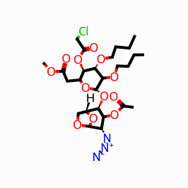 CCCCOC1[C@H](O[C@H]2C(OC(C)=O)[C@H](N=[N+]=[N-])C3OC[C@H]2O3)OC(CC(=O)OC)[C@@H](OC(=O)CCl)[C@@H]1OCCCC